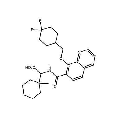 CC1(C(NC(=O)c2ccc3cccnc3c2OCC2CCC(F)(F)CC2)C(=O)O)CCCCC1